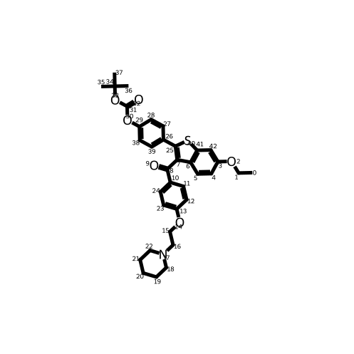 CCOc1ccc2c(C(=O)c3ccc(OCCN4CCCCC4)cc3)c(-c3ccc(OC(=O)OC(C)(C)C)cc3)sc2c1